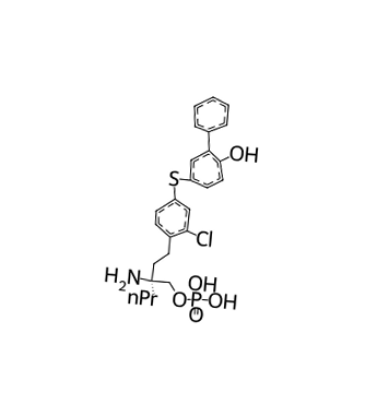 CCC[C@](N)(CCc1ccc(Sc2ccc(O)c(-c3ccccc3)c2)cc1Cl)COP(=O)(O)O